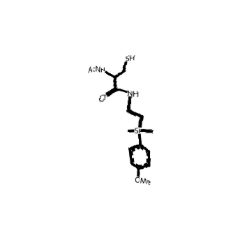 COc1ccc([Si](C)(C)CCNC(=O)C(CS)NC(C)=O)cc1